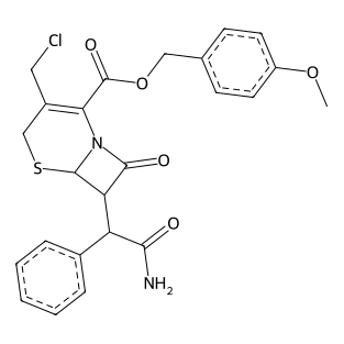 COc1ccc(COC(=O)C2=C(CCl)CSC3C(C(C(N)=O)c4ccccc4)C(=O)N23)cc1